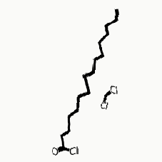 CCCCCCCCCCCCCCCC(=O)Cl.ClCCl